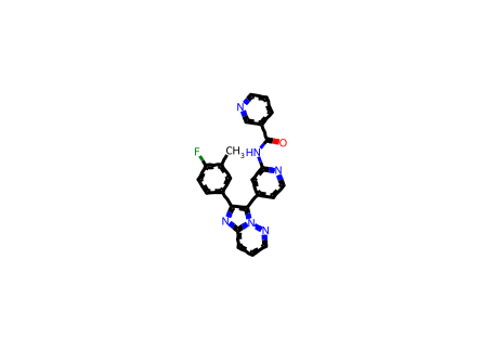 Cc1cc(-c2nc3cccnn3c2-c2ccnc(NC(=O)c3cccnc3)c2)ccc1F